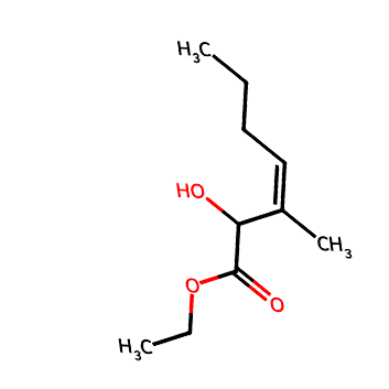 CCCC=C(C)C(O)C(=O)OCC